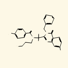 CCC(C(=O)O)(c1nc2cc(Cl)ccc2c(=O)n1Cc1ccccc1)N(CCCN)C(=O)c1ccc(C)cc1